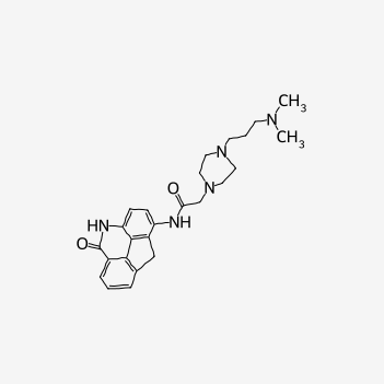 CN(C)CCCN1CCN(CC(=O)Nc2ccc3[nH]c(=O)c4cccc5c4c3c2C5)CC1